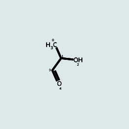 CC(O)C=O